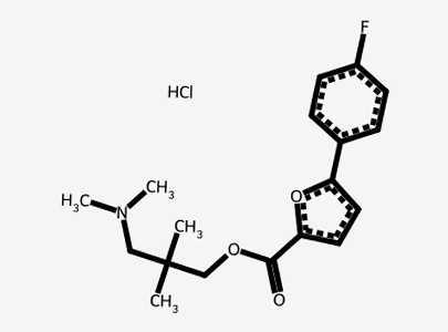 CN(C)CC(C)(C)COC(=O)c1ccc(-c2ccc(F)cc2)o1.Cl